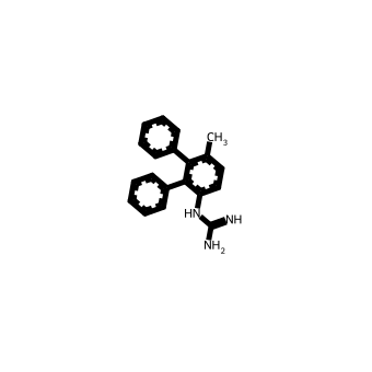 Cc1ccc(NC(=N)N)c(-c2ccccc2)c1-c1ccccc1